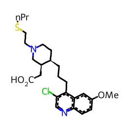 CCCSCCN1CC[C@@H](CCCc2c(Cl)cnc3ccc(OC)cc23)[C@@H](CC(=O)O)C1